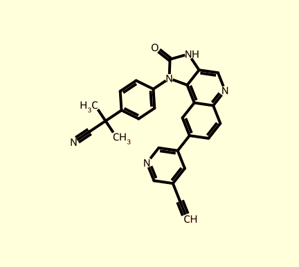 C#Cc1cncc(-c2ccc3ncc4[nH]c(=O)n(-c5ccc(C(C)(C)C#N)cc5)c4c3c2)c1